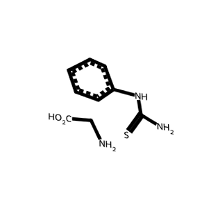 NC(=S)Nc1ccccc1.NCC(=O)O